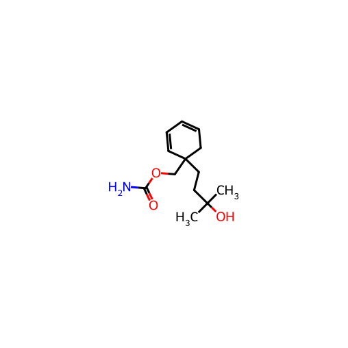 CC(C)(O)CCC1(COC(N)=O)C=CC=CC1